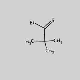 [CH2]CC(=S)C(C)(C)C